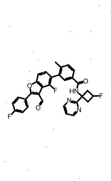 Cc1ccc(C(=O)NC2(c3ncccn3)CC(F)C2)cc1-c1ccc2oc(-c3ccc(F)cc3)c(C=O)c2c1F